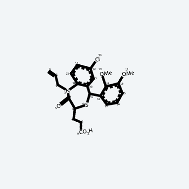 C=CCN1C(=O)C(CCC(=O)O)SC(c2cccc(OC)c2OC)c2cc(Cl)ccc21